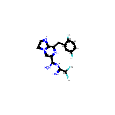 N=C(/N=C(\N)c1cn2ccnc2c(Cc2cc(F)ccc2F)n1)C(F)F